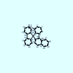 Brc1cccc2c1C1(c3ccccc3-c3ccccc31)c1ccc3ccccc3c1-2